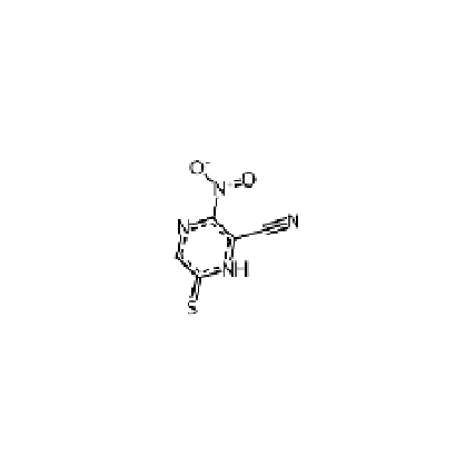 N#Cc1[nH]c(=S)cnc1[N+](=O)[O-]